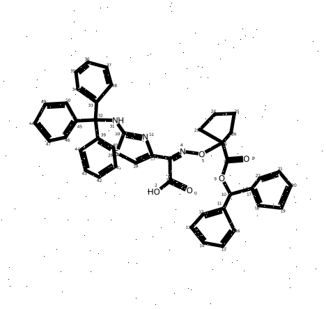 O=C(O)C(=NOC1(C(=O)OC(c2ccccc2)c2ccccc2)CCCC1)c1csc(NC(c2ccccc2)(c2ccccc2)c2ccccc2)n1